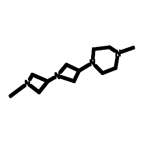 CN1CCN(C2CN(C3CN(C)C3)C2)CC1